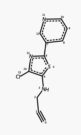 C#CCNc1sc(-c2cccnc2)nc1Cl